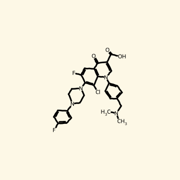 CN(C)Cc1ccc(-n2cc(C(=O)O)c(=O)c3cc(F)c(N4CCN(c5ccc(F)cc5)CC4)c(Cl)c32)cc1